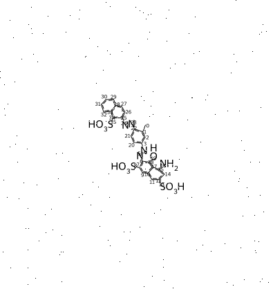 Cc1cc(N=Nc2c(S(=O)(=O)O)cc3cc(S(=O)(=O)O)cc(N)c3c2O)ccc1N=Nc1ccc2ccccc2c1S(=O)(=O)O